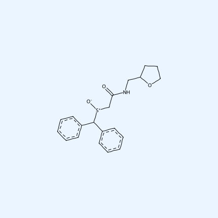 O=C(C[S+]([O-])C(c1ccccc1)c1ccccc1)NCC1CCCO1